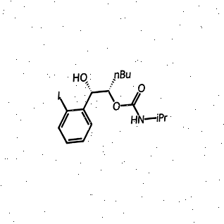 CCCC[C@H](OC(=O)NC(C)C)[C@@H](O)c1ccccc1I